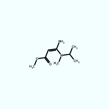 COC(=O)C=C(N)N(C)C(C)C